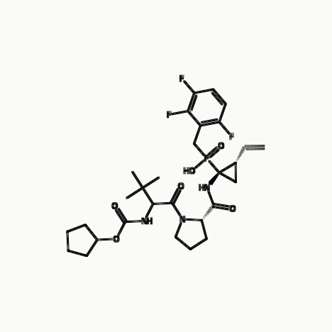 C=C[C@@H]1C[C@]1(NC(=O)[C@@H]1CCCN1C(=O)C(NC(=O)OC1CCCC1)C(C)(C)C)P(=O)(O)Cc1c(F)ccc(F)c1F